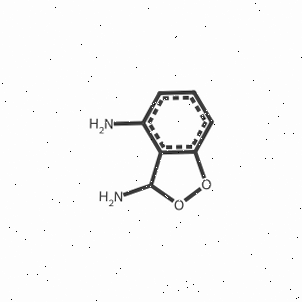 Nc1cccc2c1C(N)OO2